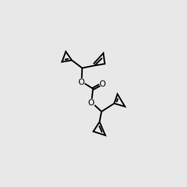 O=C(OC(C1=CC1)C1=CC1)OC(C1=CC1)C1=CC1